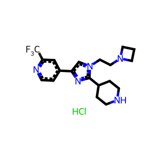 Cl.FC(F)(F)c1cc(-c2cn(CCN3CCC3)c(C3CCNCC3)n2)ccn1